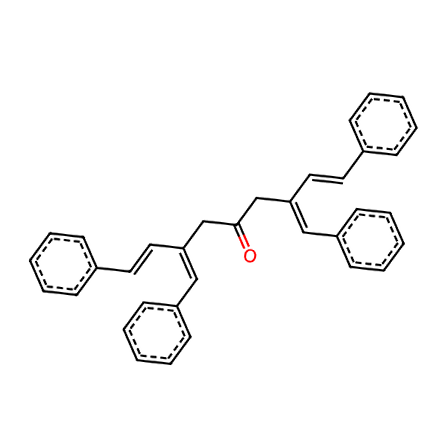 O=C(CC(C=Cc1ccccc1)=Cc1ccccc1)CC(C=Cc1ccccc1)=Cc1ccccc1